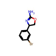 NC1=NC(c2cccc(Br)c2)CO1